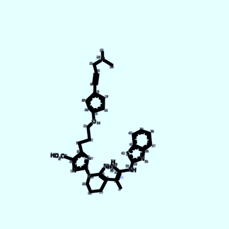 C/C(C1=C(N)N(c2nc(C(=O)O)c(CCCOc3ccc(C#CCN(C)C)cc3)s2)CCC1)=C(/N)Nc1nc2ccccc2s1